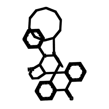 O=C1c2ccccc2C2(c3ccccc31)C1CCCNC1N(c1ccccc1)C1C2CCCN1C1CCCCCCCCC1